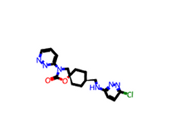 O=C1O[C@]2(CC[C@H](CNc3ccc(Cl)nn3)CC2)CN1c1cccnn1